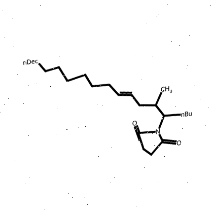 CCCCCCCCCCCCCCCCC=CCC(C)C(CCCC)N1C(=O)CCC1=O